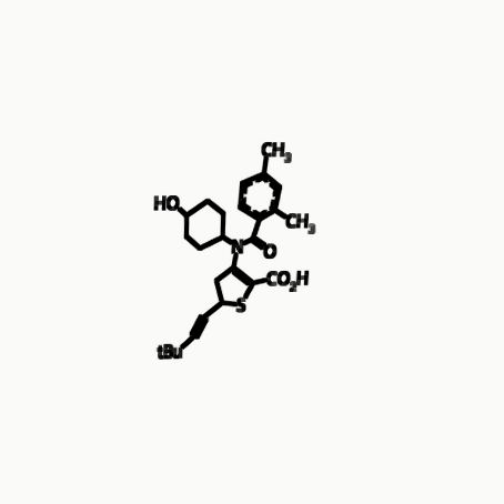 Cc1ccc(C(=O)N(C2=C(C(=O)O)SC(C#CC(C)(C)C)C2)C2CCC(O)CC2)c(C)c1